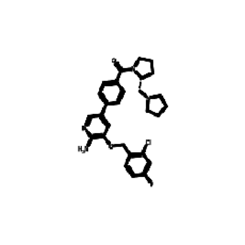 Nc1ncc(-c2ccc(C(=O)N3CCC[C@@H]3CN3CCCC3)cc2)cc1OCc1ccc(F)cc1Cl